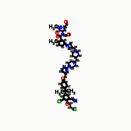 CNC(=O)C(CCC=O)N(C=O)C(=O)c1cc(N2CC(CN3CCC(CN4CCN(c5nccc(COc6ccc(C(C)(C)c7cc(Cl)c(OCCCl)c(C#N)c7)cc6)n5)CC4)CC3)C2)ccc1C